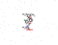 Cc1cc(C)c(Oc2ccc(OC(CCN(C)CC(=O)O)c3ccc(F)cc3)cc2)c(C)c1